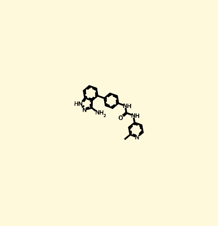 Cc1cc(NC(=O)Nc2ccc(-c3cccc4[nH]nc(N)c34)cc2)ccn1